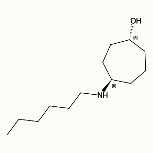 CCCCCCN[C@@H]1CCC[C@@H](O)CC1